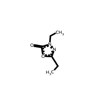 CCc1nn(CC)c(=O)o1